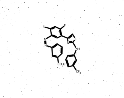 O=C(O)c1cccc(/N=N\c2cc(-c3csc(Nc4cccc(C(F)(F)F)c4)n3)c(F)cc2F)c1